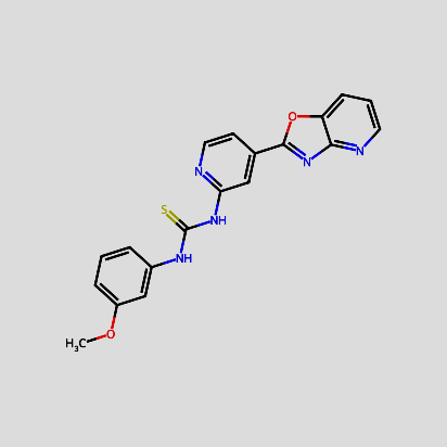 COc1cccc(NC(=S)Nc2cc(-c3nc4ncccc4o3)ccn2)c1